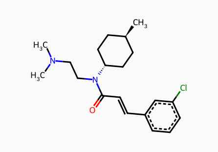 CN(C)CCN(C(=O)/C=C/c1cccc(Cl)c1)[C@H]1CC[C@H](C)CC1